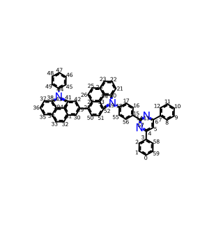 c1ccc(-c2cc(-c3ccccc3)nc(-c3ccc(-n4c5cccc6ccc7c(-c8cc9ccc%10cccc%11c%10c9c(c8)n%11-c8ccccc8)ccc4c7c65)cc3)n2)cc1